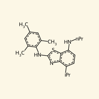 CCCNc1ccc(C(C)C)c2nc(Nc3c(C)cc(C)cc3C)sc12